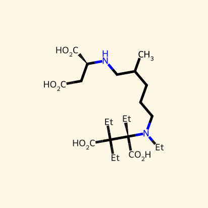 CCN(CCCC(C)CN[C@@H](CC(=O)O)C(=O)O)[C@](CC)(C(=O)O)C(CC)(CC)C(=O)O